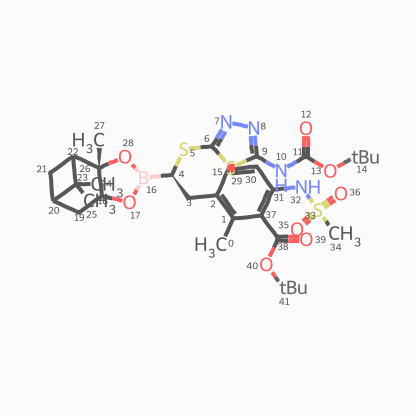 Cc1c(C[C@H](Sc2nnc(NC(=O)OC(C)(C)C)s2)B2OC3CC4CC(C4(C)C)[C@]3(C)O2)ccc(NS(C)(=O)=O)c1C(=O)OC(C)(C)C